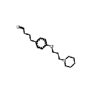 O=CCCCc1ccc(OCCCN2CCCCC2)cc1